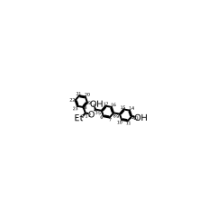 CCC(OC(O)c1ccc(-c2ccc(O)cc2)cc1)c1ccccc1